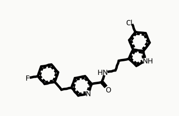 O=C(NCCc1c[nH]c2ccc(Cl)cc12)c1ccc(Cc2cccc(F)c2)cn1